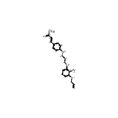 C=CCOc1cccc(OCCCOc2ccc(/C=C/C(=O)OC)cc2)c1C(C)=O